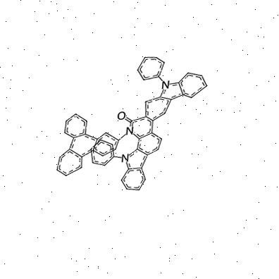 O=c1c2cc3c(cc2c2ccc4c5ccccc5n(-c5ccccc5)c4c2n1-c1ccc2c4ccccc4c4ccccc4c2c1)c1ccccc1n3-c1ccccc1